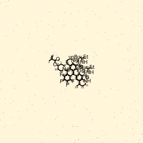 C=C(C)C(=O)OC1CCN(C(=O)c2c(F)c(F)c(F)c(F)c2C2=c3cc4c(c(S(=O)(=O)NC(CC)CCCC)c3Oc3c2cc2c(c3S(=O)(=O)NC(CC)CCCC)NCCC2C)=NCCC4)CC1